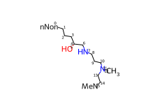 CCCCCCCCCCCCC(O)CNCCCN(C)CCNC